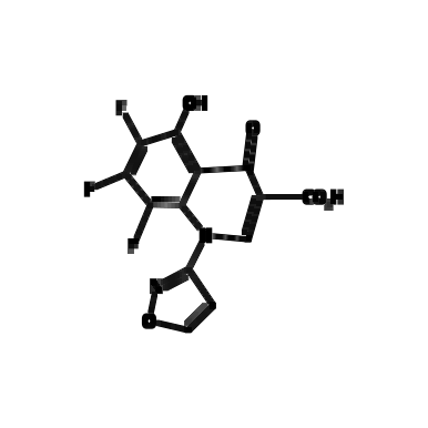 O=C(O)c1cn(-c2ccon2)c2c(F)c(F)c(F)c(O)c2c1=O